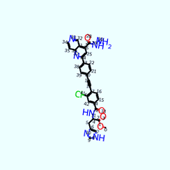 COC(=O)C(Cc1c[nH]cn1)NC(=O)c1ccc(C#Cc2ccc(-c3cc(C(=O)NN)c4cnccc4n3)cc2)c(Cl)c1